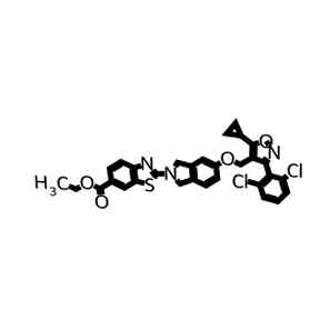 CCOC(=O)c1ccc2nc(N3Cc4ccc(OCc5c(-c6c(Cl)cccc6Cl)noc5C5CC5)cc4C3)sc2c1